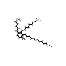 CCCCCCCCCCCCc1c(O)ccc(CCCCCC)c1CCCCCCCCC